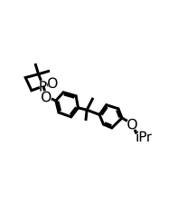 CC(C)Oc1ccc(C(C)(C)c2ccc(OP3(=O)CCC3(C)C)cc2)cc1